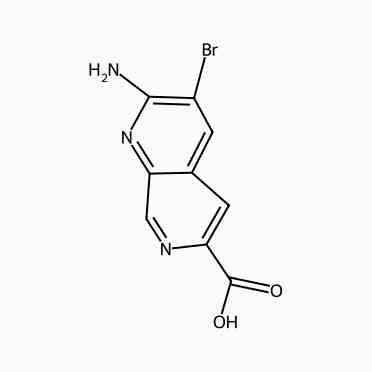 Nc1nc2cnc(C(=O)O)cc2cc1Br